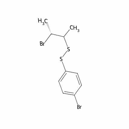 CC(SSc1ccc(Br)cc1)[C@@H](C)Br